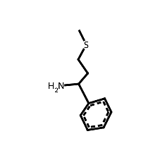 CSCCC(N)c1ccccc1